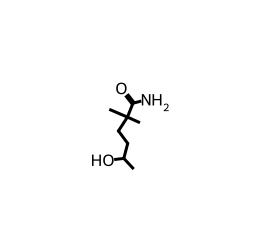 CC(O)CCC(C)(C)C(N)=O